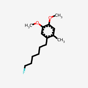 COc1cc(C)c(CCCCCCF)cc1OC